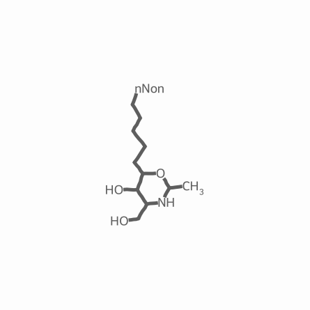 CCCCCCCCCCCCCCC1OC(C)NC(CO)C1O